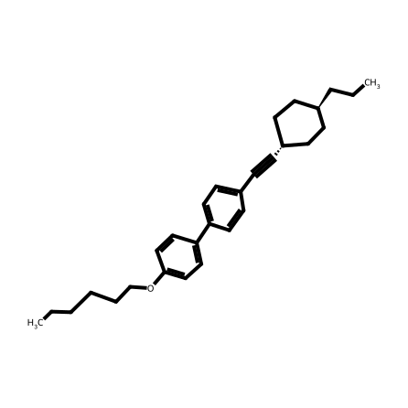 CCCCCCOc1ccc(-c2ccc(C#C[C@H]3CC[C@H](CCC)CC3)cc2)cc1